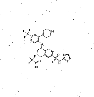 O=C(O)C(F)(F)F.O=S(=O)(Nc1nccs1)c1ccc2c(c1)CCCC2Oc1ccc(C(F)(F)F)cc1C1=CCNCC1